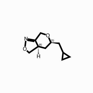 C1O[C@@H](CC2CC2)C[C@H]2CON=C12